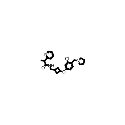 CC(C(=O)NCC1CC(Oc2ccc(CN3CCCC3)c(Cl)c2)C1)c1ccccn1